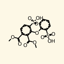 COC(=O)c1ccc(S(=O)(=O)O)c(Oc2ccccc2S(=O)(=O)O)c1C(=O)OC